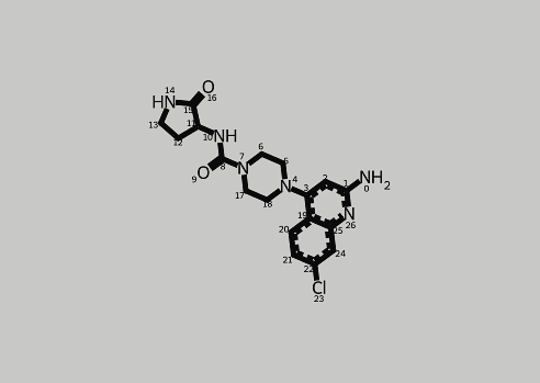 Nc1cc(N2CCN(C(=O)NC3CCNC3=O)CC2)c2ccc(Cl)cc2n1